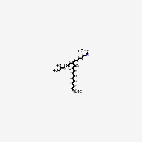 CCCCCCCC/C=C\CCCCCC(CC(=O)OCC(O)CO)C(=O)CCCCCCCCCCCCCCCCCCC